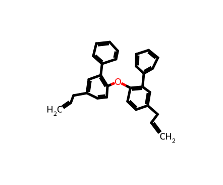 C=CCc1ccc(Oc2ccc(CC=C)cc2-c2ccccc2)c(-c2ccccc2)c1